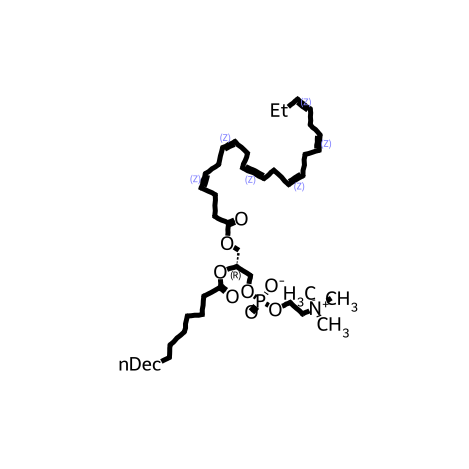 CC/C=C\C/C=C\C/C=C\C/C=C\C/C=C\C/C=C\CCC(=O)OC[C@H](COP(=O)([O-])OCC[N+](C)(C)C)OC(=O)CCCCCCCCCCCCCCCC